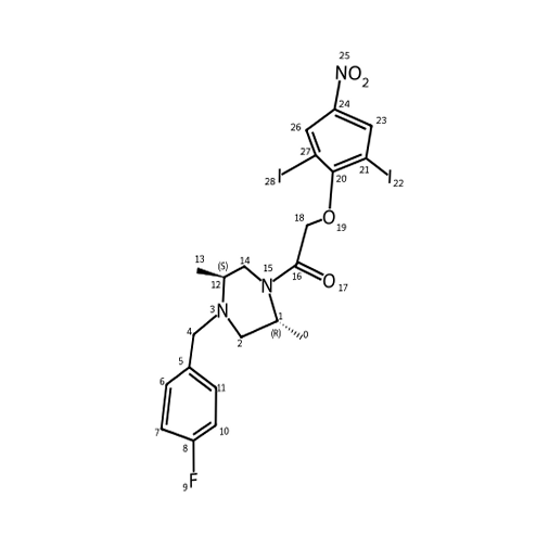 C[C@@H]1CN(Cc2ccc(F)cc2)[C@@H](C)CN1C(=O)COc1c(I)cc([N+](=O)[O-])cc1I